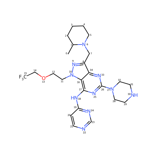 CC1CCCCN1Cc1nn(CCOCC(F)(F)F)c2c(Nc3ccncn3)nc(N3CCNCC3)nc12